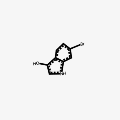 Oc1c[nH]c2cc(Br)ccc12